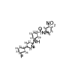 O=C(Nc1cccc([N+](=O)[O-])c1)c1cccc(Nc2ccc(-c3cccc(F)c3)cn2)c1